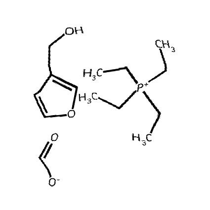 CC[P+](CC)(CC)CC.O=C[O-].OCc1ccoc1